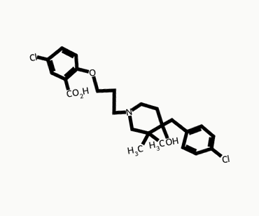 CC1(C)CN(CCCOc2ccc(Cl)cc2C(=O)O)CCC1(O)Cc1ccc(Cl)cc1